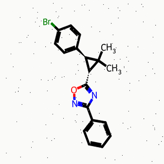 CC1(C)[C@H](c2ccc(Br)cc2)[C@H]1c1nc(-c2ccccc2)no1